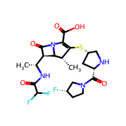 C[C@H]1C(S[C@@H]2CN[C@H](C(=O)N3CC[C@H](F)C3)C2)=C(C(=O)O)N2C(=O)[C@H]([C@@H](C)NC(=O)C(F)F)C12